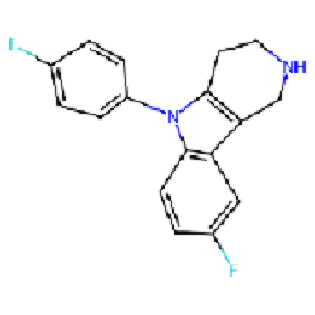 Fc1ccc(-n2c3c(c4cc(F)ccc42)CNCC3)cc1